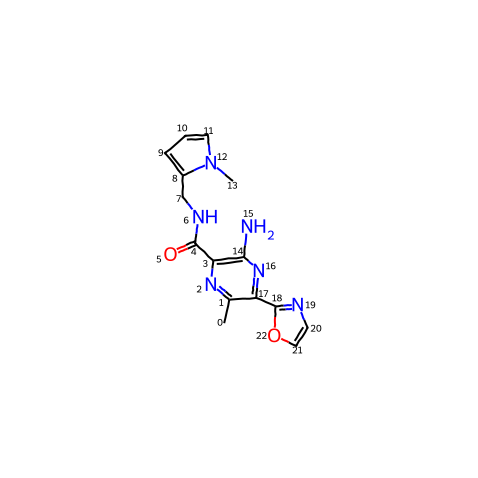 Cc1nc(C(=O)NCc2cccn2C)c(N)nc1-c1ncco1